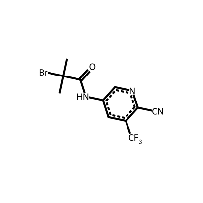 CC(C)(Br)C(=O)Nc1cnc(C#N)c(C(F)(F)F)c1